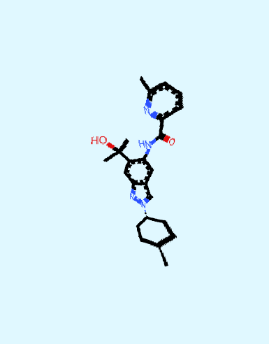 Cc1cccc(C(=O)Nc2cc3cn([C@H]4CC[C@H](C)CC4)nc3cc2C(C)(C)O)n1